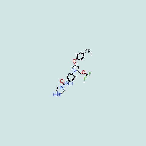 O=C(Nc1ccc(N2C[C@@H](Oc3ccc(C(F)(F)F)cc3)C[C@H]2COC(F)F)cc1)N1CCNCC1